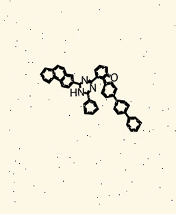 c1ccc(C2=NC(c3cccc4oc5cc(-c6ccc(-c7ccccc7)cc6)ccc5c34)=NC(c3ccc4c(ccc5ccccc54)c3)N2)cc1